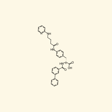 O=C(CCCNc1ccccn1)Nc1ccc(C[C@@H](NC(=O)c2cccc(-c3ccccc3)c2)C(=O)O)cc1